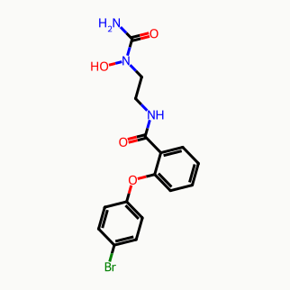 NC(=O)N(O)CCNC(=O)c1ccccc1Oc1ccc(Br)cc1